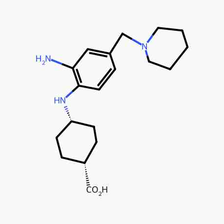 Nc1cc(CN2CCCCC2)ccc1N[C@H]1CC[C@@H](C(=O)O)CC1